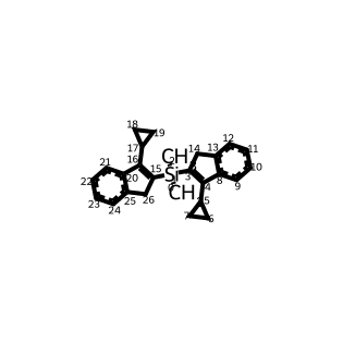 C[Si](C)(C1=C(C2CC2)c2ccccc2C1)C1=C(C2CC2)c2ccccc2C1